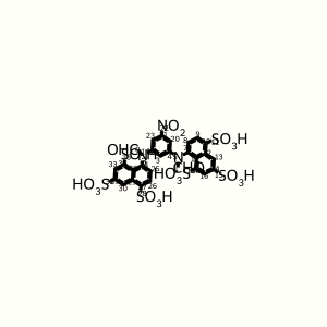 O=CN(c1cc(N(C=O)c2ccc(S(=O)(=O)O)c3cc(S(=O)(=O)O)cc(S(=O)(=O)O)c23)cc([N+](=O)[O-])c1)c1ccc(S(=O)(=O)O)c2cc(S(=O)(=O)O)cc(S(=O)(=O)O)c12